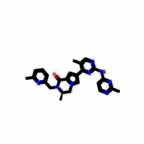 Cc1cccc(CN2C(=O)c3cc(-c4nc(Nc5ccnc(C)n5)ncc4C)cn3C[C@@H]2C)n1